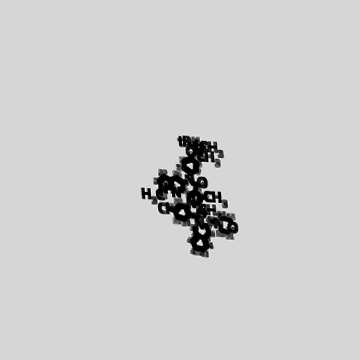 Cc1c(C(=O)N(c2ccc(O[Si](C)(C)C(C)(C)C)cc2)c2cnc3c(ccn3C)c2)cn(-c2cc(Cl)ccc2C(=O)N2Cc3ccccc3C[C@H]2CN2CCOCC2)c1C